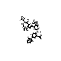 O=C1c2sc(-c3nc(Nc4ccc(N5CC6CC(C5)N6)cc4C4CC4)ncc3C(F)(F)F)cc2S(=O)(=O)CCN1C1COC1